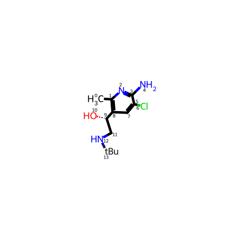 Cc1nc(N)c(Cl)cc1[C@@H](O)CNC(C)(C)C